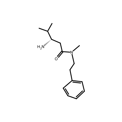 CC(C)[C@@H](N)CC(=O)N(C)CCc1ccccc1